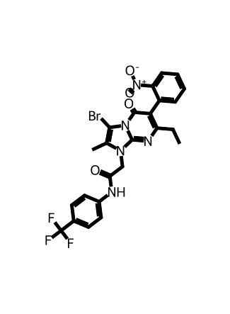 CCc1nc2n(CC(=O)Nc3ccc(C(F)(F)F)cc3)c(C)c(Br)n2c(=O)c1-c1ccccc1[N+](=O)[O-]